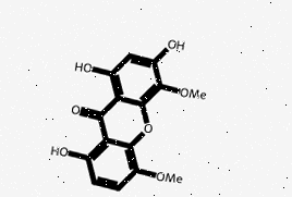 COc1ccc(O)c2c(=O)c3c(O)cc(O)c(OC)c3oc12